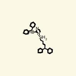 B(c1nccn1C[SiH2]CCC=CC(c1ccccc1)c1ccccc1)C(c1ccccc1)c1ccccc1